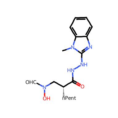 CCCCC[C@H](CN(O)C=O)C(=O)NNc1nc2ccccc2n1C